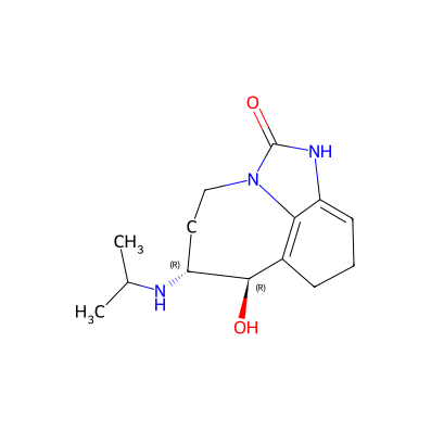 CC(C)N[C@@H]1CCn2c(=O)[nH]c3c2=C(CCC=3)[C@H]1O